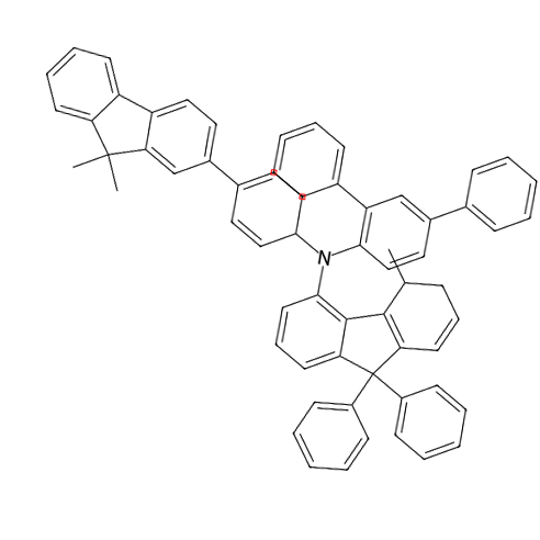 CC1CC=CC2=C1c1c(N(c3ccc(-c4ccccc4)cc3C3=CC=C=CC3)C3C=CC(c4ccc5c(c4)C(C)(C)c4ccccc4-5)=CC3)cccc1C2(c1ccccc1)c1ccccc1